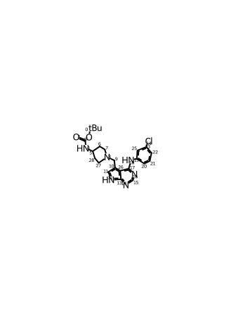 CC(C)(C)OC(=O)NC1CCN(Cc2c[nH]c3ncnc(Nc4cccc(Cl)c4)c23)CC1